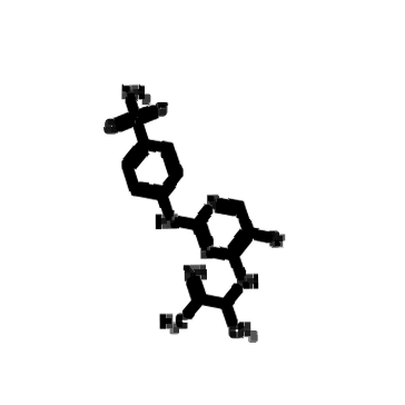 CC(=N)C(C)Nc1nc(Nc2ccc(S(N)(=O)=O)cc2)ncc1Br